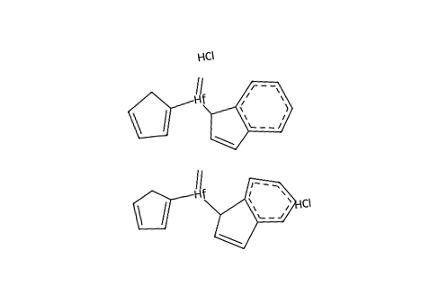 Cl.Cl.[CH2]=[Hf]([C]1=CC=CC1)[CH]1C=Cc2ccccc21.[CH2]=[Hf]([C]1=CC=CC1)[CH]1C=Cc2ccccc21